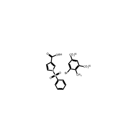 COC(=O)c1ccn(S(=O)(=O)c2ccccc2)c1.Cc1c(Br)cc(C(=O)O)cc1C(=O)O